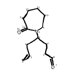 C=CCC(CCC=O)N1CCCCCC1=O